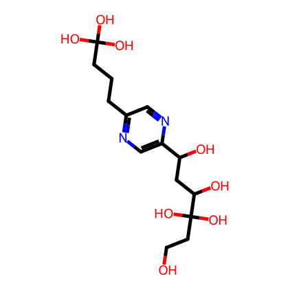 OCCC(O)(O)C(O)CC(O)c1cnc(CCCC(O)(O)O)cn1